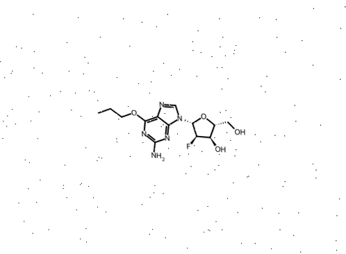 CCCOc1nc(N)nc2c1ncn2[C@@H]1O[C@H](CO)[C@@H](O)[C@H]1F